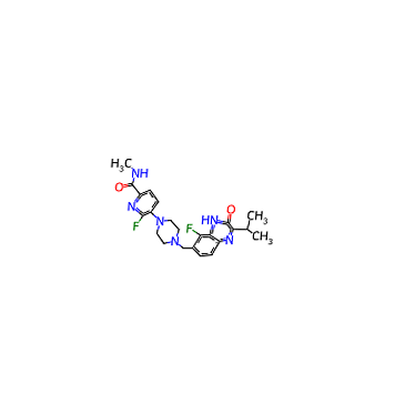 CNC(=O)c1ccc(N2CCN(Cc3ccc4nc(C(C)C)c(=O)[nH]c4c3F)CC2)c(F)n1